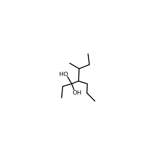 CCCC(C(C)CC)C(O)(O)CC